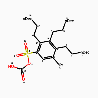 CCCCCCCCCCCCc1c(C(C)C)cc(S(=O)(=O)[O][Ti](=[O])[OH])c(CCCCCCCCCCCC)c1CCCCCCCCCCCC